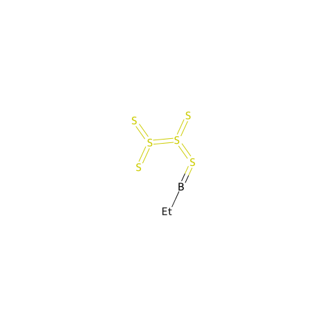 CCB=S=S(=S)=S(=S)=S